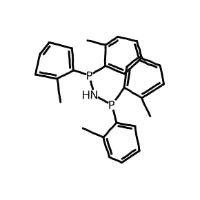 Cc1ccccc1P(NP(c1ccccc1C)c1ccccc1C)c1ccccc1C